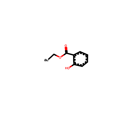 CCC(C)COC(=O)c1ccccc1O